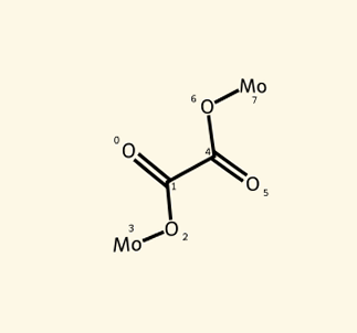 O=C([O][Mo])C(=O)[O][Mo]